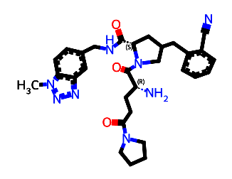 Cn1nnc2cc(CNC(=O)[C@@H]3CC(Cc4ccccc4C#N)CN3C(=O)[C@H](N)CCC(=O)N3CCCC3)ccc21